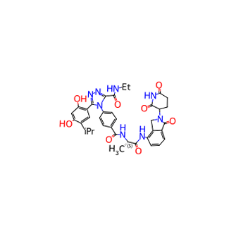 CCNC(=O)c1nnc(-c2cc(C(C)C)c(O)cc2O)n1-c1ccc(C(=O)N[C@@H](C)C(=O)Nc2cccc3c2CN(C2CCC(=O)NC2=O)C3=O)cc1